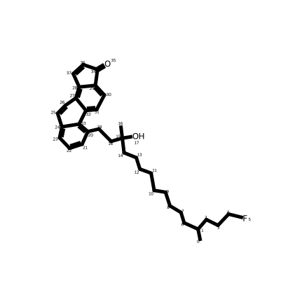 CC(CCCF)CCCCCCCCCC(C)(O)CCc1cccc2ccc3c4c(ccc3c12)C(=O)C=C4